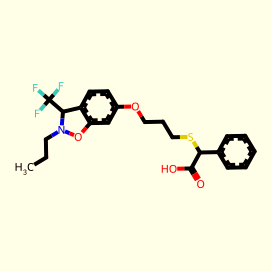 CCCN1Oc2cc(OCCCSC(C(=O)O)c3ccccc3)ccc2C1C(F)(F)F